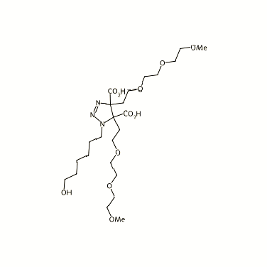 COCCOCCOCCC1(C(=O)O)N=NN(CCCCCCO)C1(CCOCCOCCOC)C(=O)O